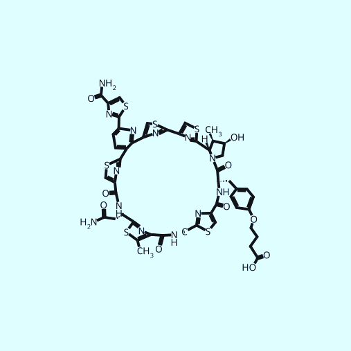 Cc1sc2nc1C(=O)NCc1nc(cs1)C(=O)N[C@@H](Cc1ccc(OCCCC(=O)O)cc1)C(=O)N1C[C@H](O)[C@H](C)[C@H]1c1nc(cs1)-c1nc(cs1)-c1nc(-c3nc(C(N)=O)cs3)ccc1-c1nc(cs1)C(=O)N[C@H]2CC(N)=O